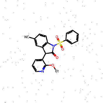 CCOc1ncccc1C1C(=O)N(S(=O)(=O)c2ccccc2)c2ccc(C#N)cc21